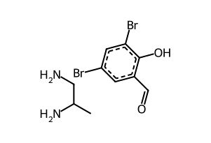 CC(N)CN.O=Cc1cc(Br)cc(Br)c1O